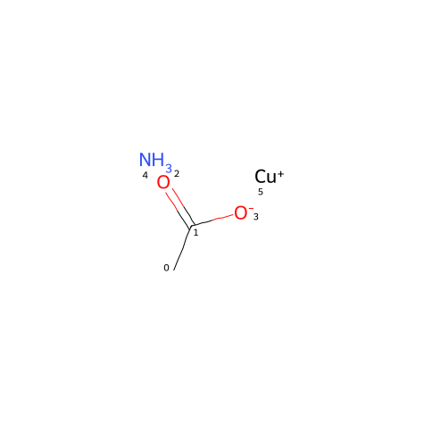 CC(=O)[O-].N.[Cu+]